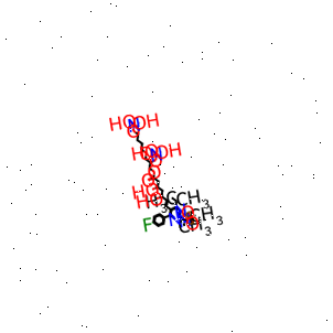 CC(C)c1nc(N(C)S(C)(=O)=O)nc(-c2ccc(F)cc2)c1/C=C/C(O)CC(O)CC(=O)OCC(COCCCCON(O)O)ON(O)O